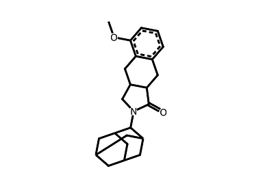 COc1cccc2c1CC1CN(C3C4CC5CC(C4)CC3C5)C(=O)C1C2